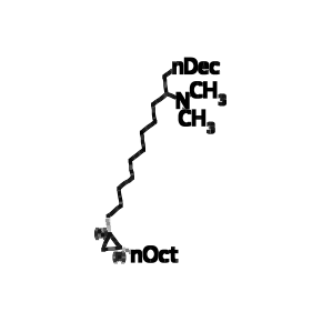 CCCCCCCCCCCC(CCCCCCCCC[C@H]1C[C@H]1CCCCCCCC)N(C)C